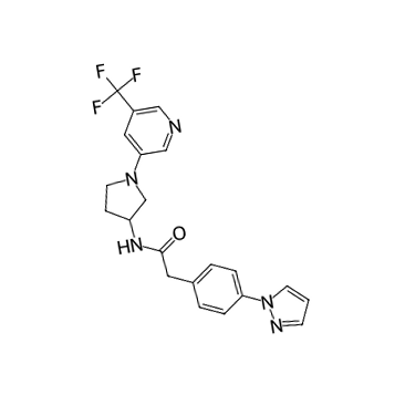 O=C(Cc1ccc(-n2cccn2)cc1)NC1CCN(c2cncc(C(F)(F)F)c2)C1